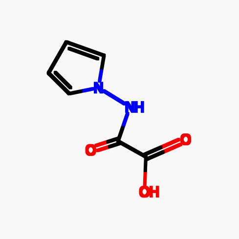 O=C(O)C(=O)Nn1cccc1